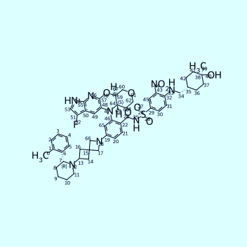 Cc1ccccc1[C@H]1CCCCN1C1CC2(C1)CN(c1ccc(C(=O)NS(=O)(=O)c3ccc(NC[C@H]4CC[C@](C)(O)CC4)c([N+](=O)[O-])c3)c(N3c4cc5c(F)c[nH]c5nc4O[C@H]4COCC[C@@H]43)c1)C2